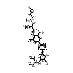 CCc1cc(-c2noc(-c3cc(C)c(CN(CC)CC)s3)n2)cc(C)c1OCC(O)CNCCOC